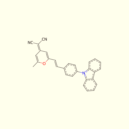 CC1=CC(=C(C#N)C#N)C=C(C=Cc2ccc(-n3c4ccccc4c4ccccc43)cc2)O1